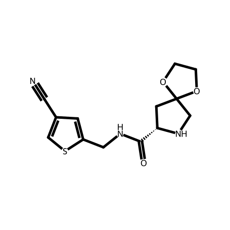 N#Cc1csc(CNC(=O)[C@@H]2CC3(CN2)OCCO3)c1